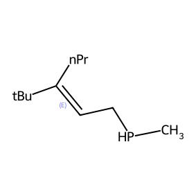 CCC/C(=C\CPC)C(C)(C)C